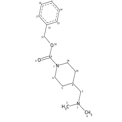 CN(C)CC1CCN(C(=O)OCc2ccccc2)CC1